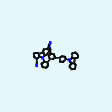 N#Cc1cc(-c2ccc(-n3c4ccccc4c4ccccc43)cc2)cc(-c2ccccc2-n2c3ccc(C#N)cc3c3cccc(C#N)c32)c1